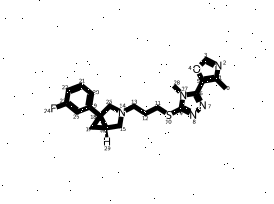 Cc1ncoc1-c1nnc(SCCCN2C[C@@H]3CC3(c3cccc(F)c3)C2)n1C